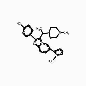 CC(c1c(-c2ccc(C#N)cc2)nc2ccc(-c3cccn3C)cn12)N1CCN(C)CC1